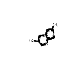 Cc1ccc2ncc(C#N)cc2c1